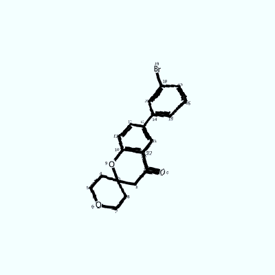 O=C1CC2(CCOCC2)Oc2ccc(-c3cccc(Br)c3)cc21